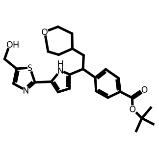 CC(C)(C)OC(=O)c1ccc(C(CC2CCOCC2)c2ccc(-c3ncc(CO)s3)[nH]2)cc1